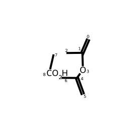 C=C(C)OC(=C)C.CC(=O)O